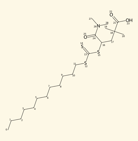 CCCCCCCCCCCCSC(=S)SC(CC(C)(C)C(=O)O)C(=O)N(C)C